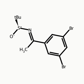 C/C(=N\[S@@+]([O-])C(C)(C)C)c1cc(Br)cc(Br)c1